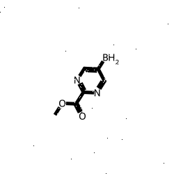 Bc1cnc(C(=O)OC)nc1